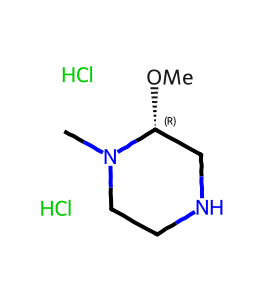 CO[C@@H]1CNCCN1C.Cl.Cl